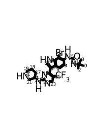 CC1(C)COC(Nc2ccc3c(-c4nc(N[C@H]5CCCNC5)ncc4C(F)(F)F)c[nH]c3c2Br)=N1